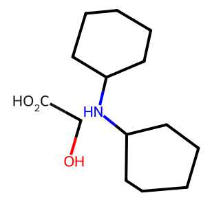 C1CCC(NC2CCCCC2)CC1.O=C(O)CO